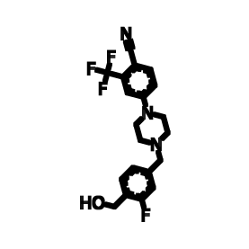 N#Cc1ccc(N2CCN(Cc3ccc(CO)c(F)c3)CC2)cc1C(F)(F)F